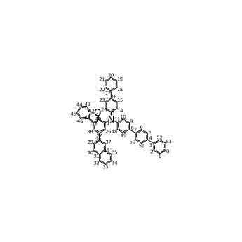 c1ccc(-c2ccc(-c3ccc(N(c4ccc(-c5ccccc5)cc4)c4cc(-c5ccc6ccccc6c5)cc5c4oc4ccccc45)cc3)cc2)cc1